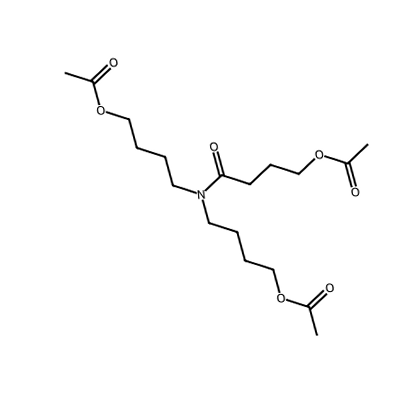 CC(=O)OCCCCN(CCCCOC(C)=O)C(=O)CCCOC(C)=O